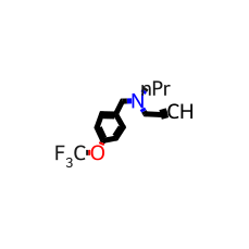 C#CCN(CCC)Cc1ccc(OC(F)(F)F)cc1